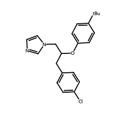 CC(C)(C)c1ccc(OC(Cc2ccc(Cl)cc2)Cn2ccnc2)cc1